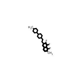 Cc1ccc2cc(CCC3CCC(C4CCC(C)CC4)CC3)c(F)c(F)c2c1F